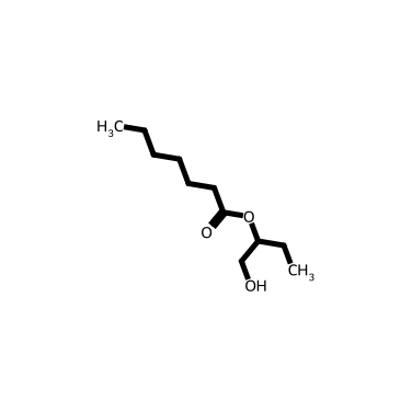 CCCCCCC(=O)OC(CC)CO